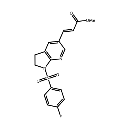 COC(=O)/C=C/c1cnc2c(c1)CCN2S(=O)(=O)c1ccc(F)cc1